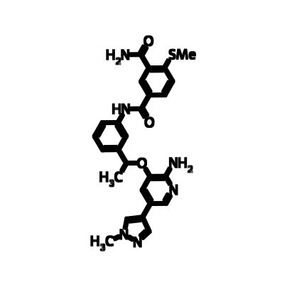 CSc1ccc(C(=O)Nc2cccc(C(C)Oc3cc(-c4cnn(C)c4)cnc3N)c2)cc1C(N)=O